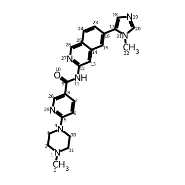 CN1CCN(c2ccc(C(=O)Nc3cc4cc(-c5cncn5C)ccc4cn3)cn2)CC1